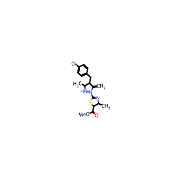 C=C1C(Cc2ccc(Cl)cc2)C(C)NN1C1=NC(C)C(C(=O)OC)S1